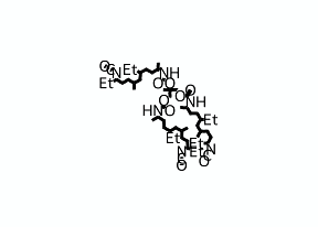 CCC(CCC(C)NC(=O)OCC(C)(COC(=O)NC(C)CCC(CC)CC(C)CCC(CC)N=C=O)OC(=O)NC(C)CCC(CC)CC(C)CCC(CC)N=C=O)CC(C)CCC(CC)N=C=O